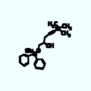 CC(C)(C)[Si](OCC(O)CC#C[Si](C)(C)C)(c1ccccc1)c1ccccc1